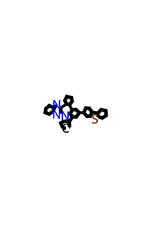 c1ccc2c(c1)-c1nc3ccccc3nc1-n1c3ccccc3c3cc(-c4ccc5c(c4)sc4ccccc45)cc-2c31